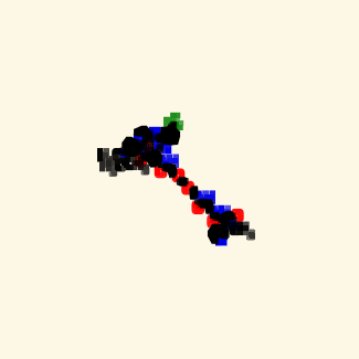 CC(C)N(C)[C@@H]1CC[C@H](N2CC[C@H](Nc3ncnc4ccc(C(F)(F)F)cc34)C2=O)[C@H](NC(=O)C2CC(NC(=O)CCOCCOCCNC(=O)CCNC(=O)[C@H]3CC(=O)N(C)[C@@H]3c3cccnc3)C2)C1